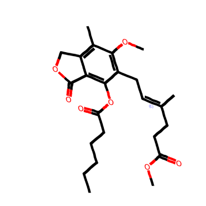 CCCCCC(=O)Oc1c(C/C=C(\C)CCC(=O)OC)c(OC)c(C)c2c1C(=O)OC2